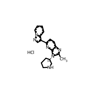 Cc1nc2ccc(-c3cnn4ccccc34)nc2n1[C@H]1CCCNC1.Cl